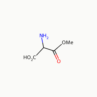 COC(=O)C(N)C(=O)O